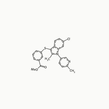 COC(=O)c1cccc(Sc2c(C)n(-c3ccc(C)nc3)c3cc(Cl)ccc23)c1